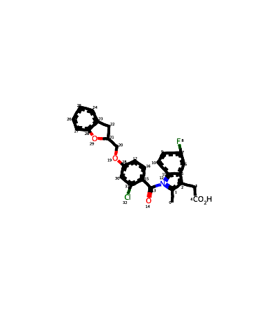 Cc1c(CC(=O)O)c2cc(F)ccc2n1C(=O)c1ccc(OCC2Cc3ccccc3O2)cc1Cl